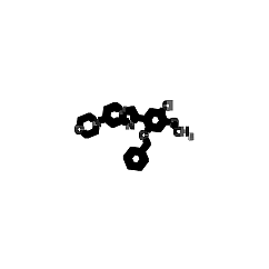 COc1cc(OCc2ccccc2)c(-c2cn3ccc(N4CCOCC4)cc3n2)cc1Cl